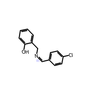 Oc1ccccc1C/N=C\c1ccc(Cl)cc1